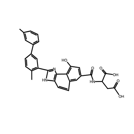 Cc1cccc(-c2ccc(C)c(-c3nc4c(ccc5cc(C(=O)NC(CC(=O)O)C(=O)O)cc(O)c54)[nH]3)c2)c1